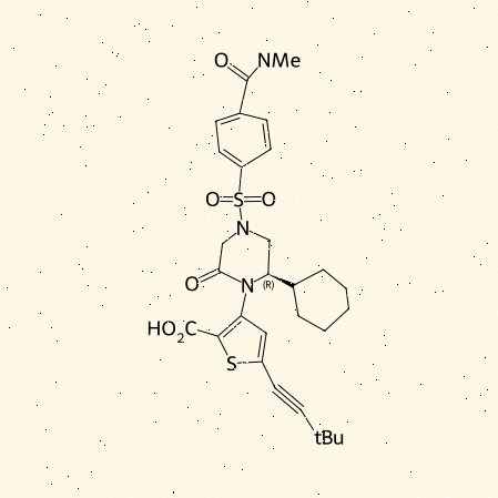 CNC(=O)c1ccc(S(=O)(=O)N2CC(=O)N(c3cc(C#CC(C)(C)C)sc3C(=O)O)[C@H](C3CCCCC3)C2)cc1